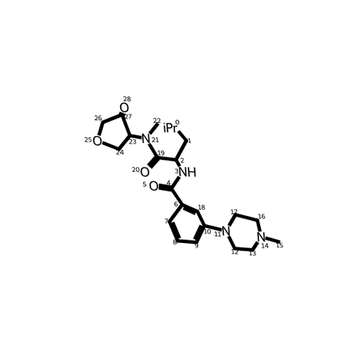 CC(C)CC(NC(=O)c1cccc(N2CCN(C)CC2)c1)C(=O)N(C)C1COCC1=O